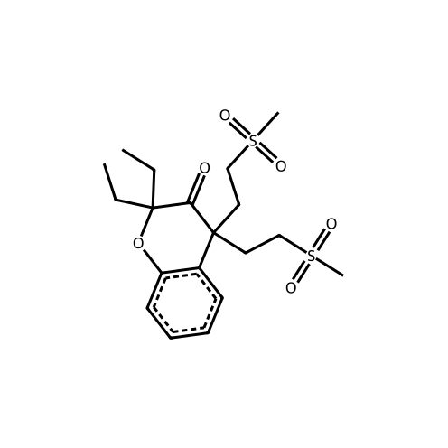 CCC1(CC)Oc2ccccc2C(CCS(C)(=O)=O)(CCS(C)(=O)=O)C1=O